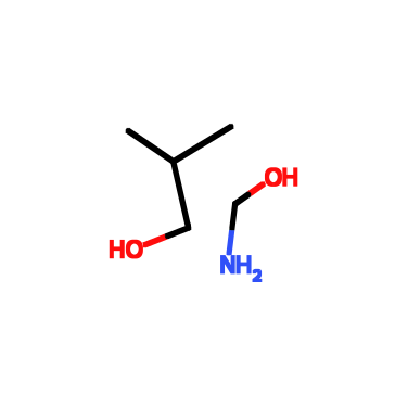 CC(C)CO.NCO